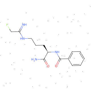 N=C(CF)NCCC[C@@H](NC(=O)c1ccccc1)C(N)=O